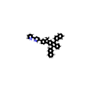 CC1(C)c2cc(-c3ccc(-c4ccccn4)nc3)ccc2-c2cc3c(-c4ccc5ccccc5c4)c4ccccc4c(-c4ccc5ccccc5c4)c3cc21